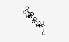 CC(C)CCC[C@@H](C)[C@H]1CC[C@H]2[C@@H]3CC=C4C[C@@H](OC(=O)CCNC(=O)OCC5c6ccccc6-c6ccccc65)CC[C@]4(C)[C@H]3CC[C@]12C